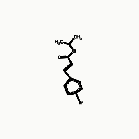 CC(C)OC(=O)/C=C/c1ccc(Br)cc1